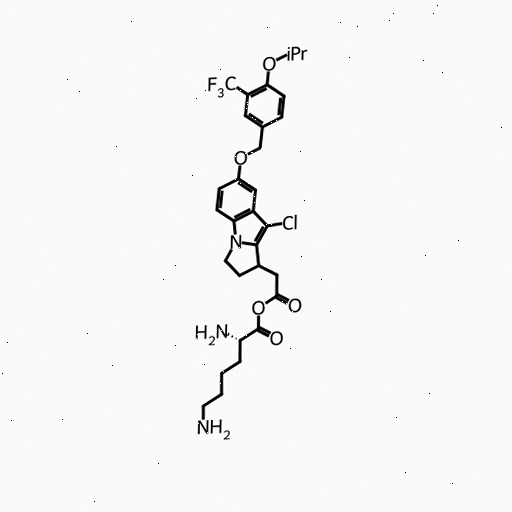 CC(C)Oc1ccc(COc2ccc3c(c2)c(Cl)c2n3CCC2CC(=O)OC(=O)[C@@H](N)CCCCN)cc1C(F)(F)F